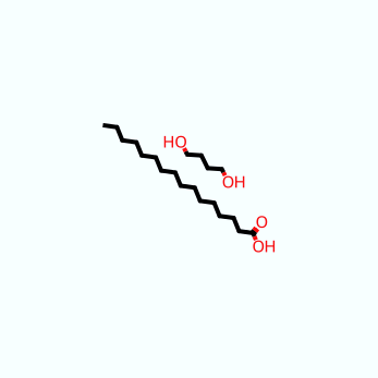 CCCCCCCCCCCCCCCC(=O)O.OCCCCO